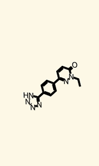 CCn1nc(-c2ccc(-c3nnn[nH]3)cc2)ccc1=O